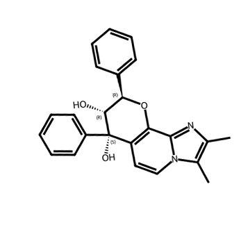 Cc1nc2c3c(ccn2c1C)[C@@](O)(c1ccccc1)[C@H](O)[C@@H](c1ccccc1)O3